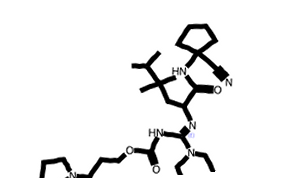 CC(C)C(C)(C)CC(/N=C(\NC(=O)OCCCN1CCCC1)N1CCOCC1)C(=O)NC1(C#N)CCCC1